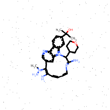 CN(N)/C1=C(N)/C=C\C=C/N=C(\N)C(C2CCOCC2)n2c3cc(C(C)(C)O)ccc3c3ncc1cc32